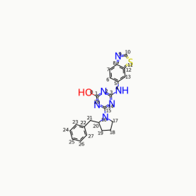 Oc1nc(Nc2ccc3ncsc3c2)nc(N2CCCC2Cc2ccccc2)n1